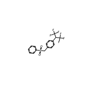 O=S(=O)(Cc1ccc(C(C(F)(F)F)C(F)(F)F)cc1)c1ccccc1